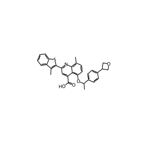 Cc1c(-c2cc(C(=O)O)c3c(OC(C)c4ccc(C5COC5)cc4)ccc(C)c3n2)sc2ccccc12